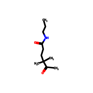 CCCNC(=O)CCC(C)(C)C(C)=O